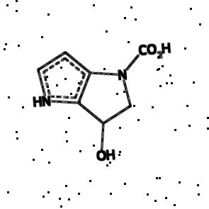 O=C(O)N1CC(O)c2[nH]ccc21